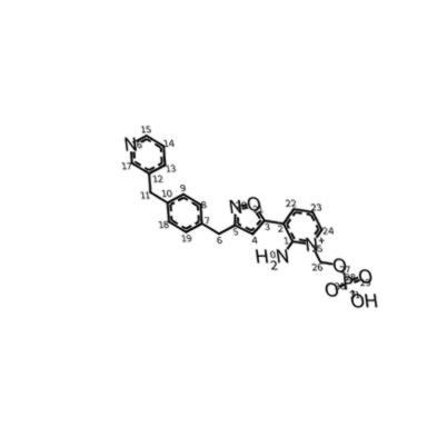 Nc1c(-c2cc(Cc3ccc(Cc4cccnc4)cc3)no2)ccc[n+]1COP(=O)([O-])O